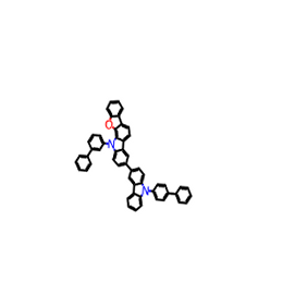 c1ccc(-c2ccc(-n3c4ccccc4c4cc(-c5ccc6c(c5)c5ccc7c8ccccc8oc7c5n6-c5cccc(-c6ccccc6)c5)ccc43)cc2)cc1